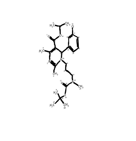 CC1=NC(C)=C(C(=O)OC(C)C)C(c2cccc(Cl)c2)N1CCCN(C)C(=O)OC(C)(C)C